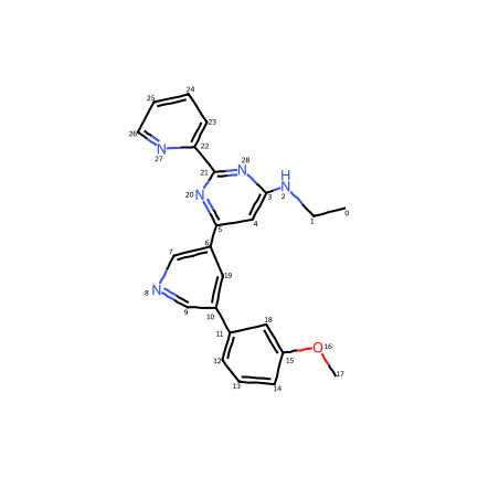 CCNc1cc(-c2cncc(-c3cccc(OC)c3)c2)nc(-c2ccccn2)n1